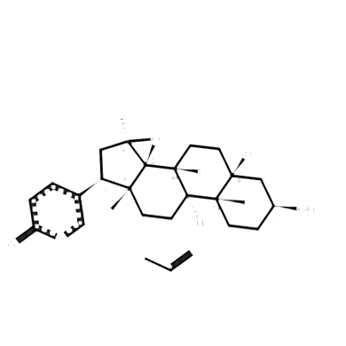 C=CC.C[C@]12CC[C@H](O)C[C@H]1CC[C@@H]1[C@@H]2CC[C@]2(C)[C@@H](c3ccc(=O)oc3)C[C@H]3O[C@]132